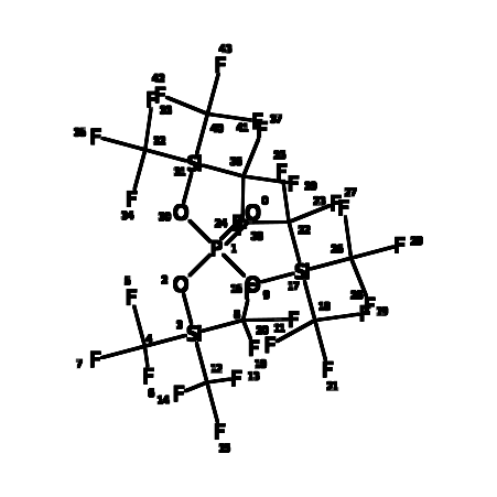 O=P(O[Si](C(F)(F)F)(C(F)(F)F)C(F)(F)F)(O[Si](C(F)(F)F)(C(F)(F)F)C(F)(F)F)O[Si](C(F)(F)F)(C(F)(F)F)C(F)(F)F